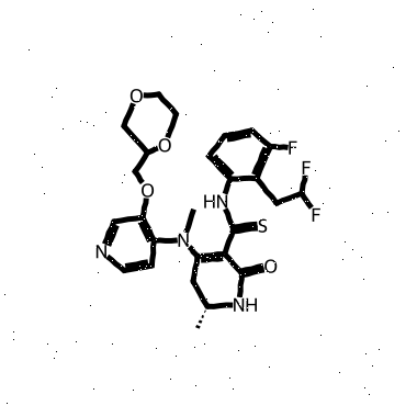 C[C@@H]1CC(N(C)c2ccncc2OCC2COCCO2)=C(C(=S)Nc2cccc(F)c2CC(F)F)C(=O)N1